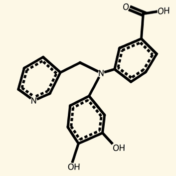 O=C(O)c1cccc(N(Cc2cccnc2)c2ccc(O)c(O)c2)c1